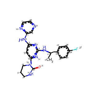 CC(Nc1nc(Nc2cnccn2)cc(N2CCCNC2=O)n1)c1ccc(F)cc1